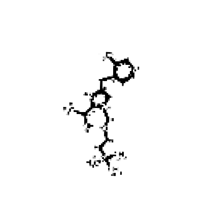 Cc1cnccc1Cc1cn(COCC[Si](C)(C)C)c(C(O)C(F)(F)F)n1